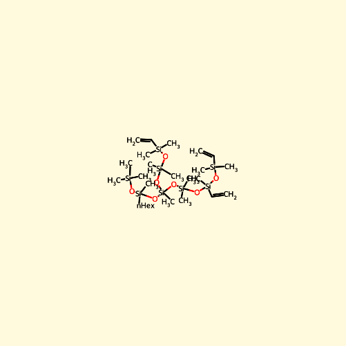 C=C[Si](C)(C)O[Si](C)(C)O[Si](C)(O[Si](C)(C)O[Si](C)(C=C)O[Si](C)(C)C=C)O[Si](C)(CCCCCC)O[Si](C)(C)C